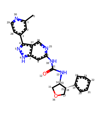 Cc1cc(-c2n[nH]c3cc(NC(=O)N[C@@H]4COC[C@H]4c4ccccc4)ncc23)ccn1